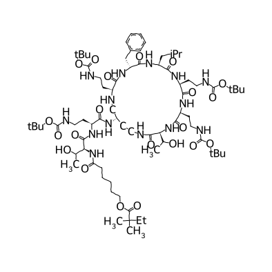 CCC(C)(C)C(=O)OCCCCCC(=O)N[C@H](C(=O)N[C@@H](CCNC(=O)OC(C)(C)C)C(=O)N[C@H]1CCNC(=O)[C@H](C(C)O)NC(=O)[C@H](CCNC(=O)OC(C)(C)C)NC(=O)[C@H](CCNC(=O)OC(C)(C)C)NC(=O)[C@H](CC(C)C)NC(=O)[C@@H](Cc2ccccc2)NC(=O)[C@H](CCNC(=O)OC(C)(C)C)NC1)C(C)O